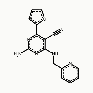 N#Cc1c(NCc2ccccn2)nc(N)nc1-c1ccco1